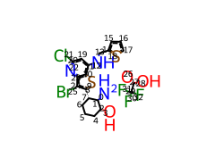 N[C@H]1[C@H](O)CCC[C@@H]1c1sc2c(NCc3cccs3)cc(Cl)nc2c1Br.O=C(O)C(F)(F)F